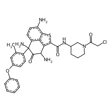 Cc1cc(Oc2ccccc2)ccc1C1(N)C(=O)C(N)c2c(C(=O)NC3CCCN(C(=O)CCl)C3)sc3c(N)ccc1c23